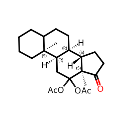 CC(=O)OC1(OC(C)=O)C[C@@H]2[C@@H](CCC3CCCC[C@@]32C)[C@@H]2CCC(=O)[C@]21C